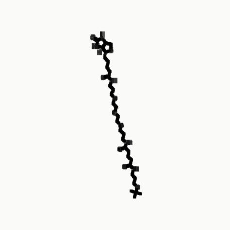 CC(C)(C)OCCCNC(=O)CCCC(=O)NCCCOCCOCCOCCCNC(=O)CCCC[C@@H]1SCC2NC(=O)N[C@@H]21